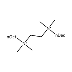 CCCCCCCCCC[N+](C)(C)CC[N+](C)(C)CCCCCCCC